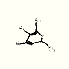 NC1C=C(O)C(O)=C(O)C1